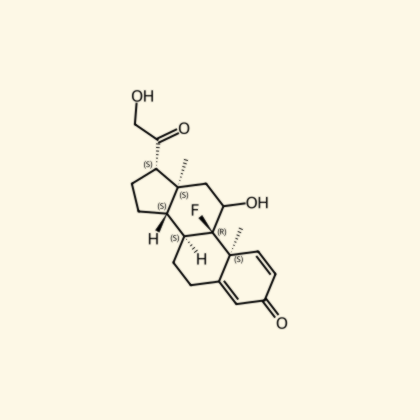 C[C@]12CC(O)[C@@]3(F)[C@@H](CCC4=CC(=O)C=C[C@@]43C)[C@@H]1CC[C@@H]2C(=O)CO